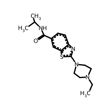 CCN1CCN(c2nc3ccc(C(=O)NC(C)C)cc3s2)CC1